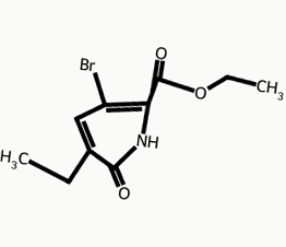 CCOC(=O)c1[nH]c(=O)c(CC)cc1Br